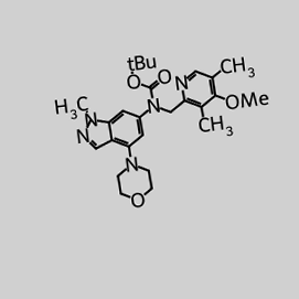 COc1c(C)cnc(CN(C(=O)OC(C)(C)C)c2cc(N3CCOCC3)c3cnn(C)c3c2)c1C